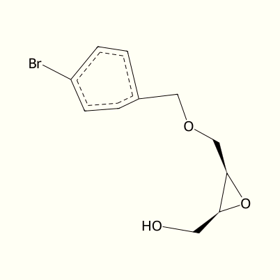 OC[C@@H]1O[C@@H]1COCc1ccc(Br)cc1